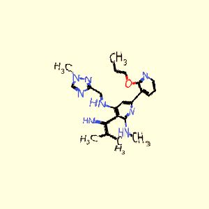 CCCOc1ncccc1-c1cc(NCc2ncn(C)n2)c(C(=N)C(C)C)c(NC)n1